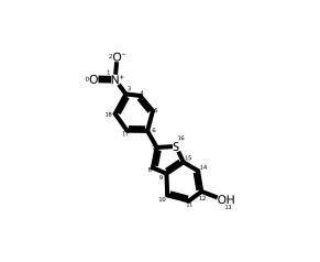 O=[N+]([O-])c1ccc(-c2cc3ccc(O)cc3s2)cc1